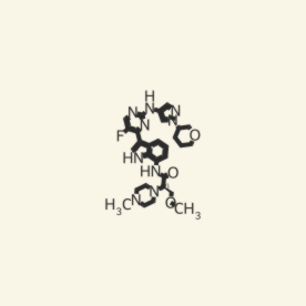 COC[C@H](C(=O)Nc1cccc2c(-c3nc(Nc4cnn(C5CCCOC5)c4)ncc3F)c[nH]c12)N1CCN(C)CC1